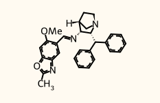 COc1cc2oc(C)nc2cc1C=N[C@@H]1[C@@H]2CC[N@](C2)[C@@H]1C(c1ccccc1)c1ccccc1